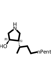 CCCCCCCC(C)[C@H]1CNC[C@@H]1O